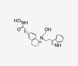 O=C(/C=C/c1ccc2c(c1)CCC[C@H]2N(CCO)CCc1c[nH]c2ccccc12)NO